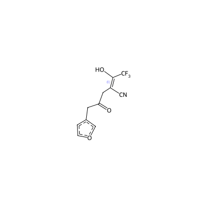 N#C/C(CC(=O)Cc1ccoc1)=C(/O)C(F)(F)F